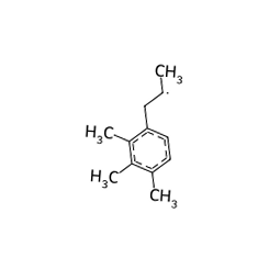 C[CH]Cc1ccc(C)c(C)c1C